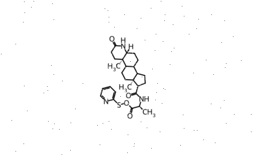 C[C@H](NC(=O)C1CCC2C3CC[C@H]4NC(=O)CC[C@]4(C)C3CC[C@]12C)C(=O)OSc1ccccn1